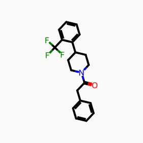 O=C(Cc1ccccc1)N1CCC(c2ccccc2C(F)(F)F)CC1